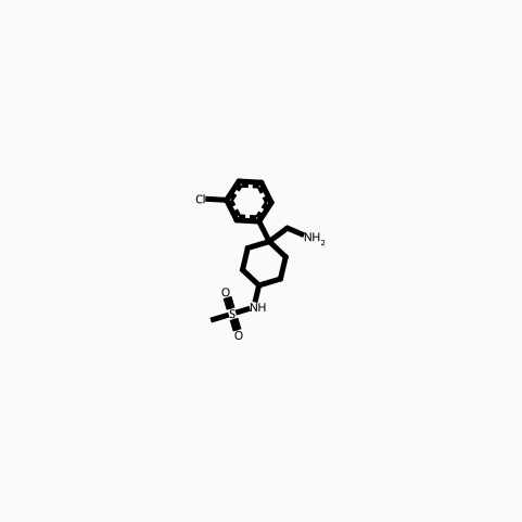 CS(=O)(=O)NC1CCC(CN)(c2cccc(Cl)c2)CC1